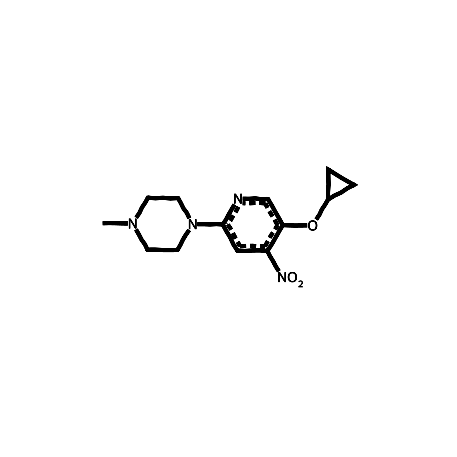 CN1CCN(c2cc([N+](=O)[O-])c(OC3CC3)cn2)CC1